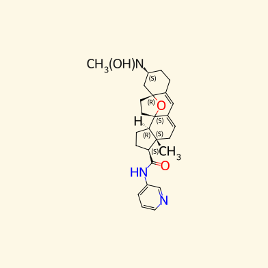 CN(O)[C@H]1CCC2=CC3=CC[C@]4(C)[C@@H](C(=O)Nc5cccnc5)CC[C@H]4[C@@]34CC[C@]2(C1)O4